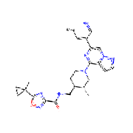 CN/C=C(\C=N)c1cn2nccc2c(N2CC[C@H](CNC(=O)c3noc(C4(C)CC4)n3)[C@@H](C)C2)n1